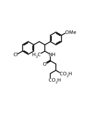 COc1ccc(C(Cc2ccc(Cl)cc2)C(C)NC(=O)CC(CC(=O)O)C(=O)O)cc1